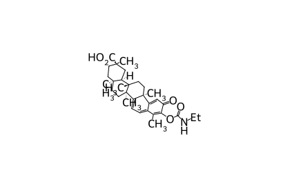 CCNC(=O)OC1=C(C)C2=CC=C3[C@@](C)(CC[C@@]4(C)[C@@H]5C[C@](C)(C(=O)O)CC[C@]5(C)CC[C@]34C)C2=CC1=O